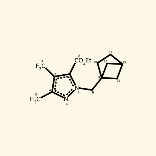 CCOC(=O)c1c(C(F)(F)F)c(C)nn1CC12CCC(C1)C2